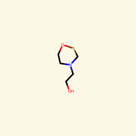 OCCN1CCOSC1